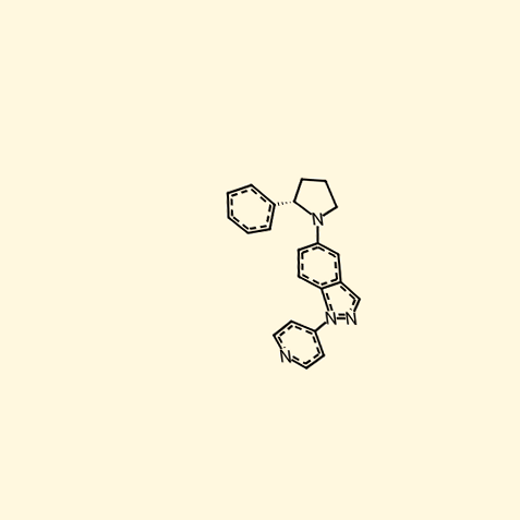 c1ccc([C@@H]2CCCN2c2ccc3c(cnn3-c3ccncc3)c2)cc1